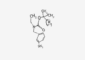 CCN(Cc1cccc(N)c1)C(=O)OC(C)(C)C